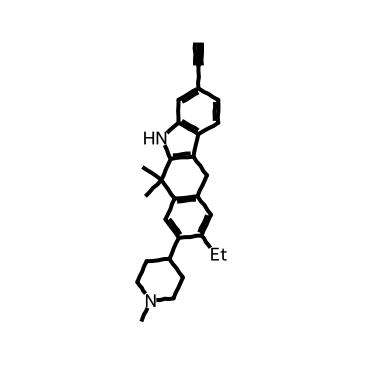 C#Cc1ccc2c3c([nH]c2c1)C(C)(C)c1cc(C2CCN(C)CC2)c(CC)cc1C3